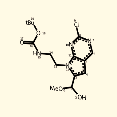 COC(O)c1cc2cnc(Cl)nc2n1CCNC(=O)OC(C)(C)C